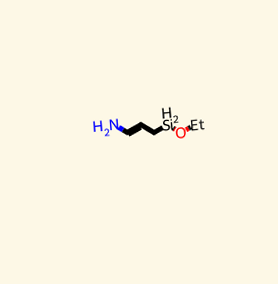 CCO[SiH2]CC=CN